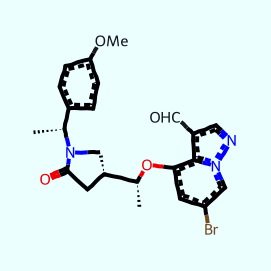 COc1ccc([C@@H](C)N2C[C@H]([C@@H](C)Oc3cc(Br)cn4ncc(C=O)c34)CC2=O)cc1